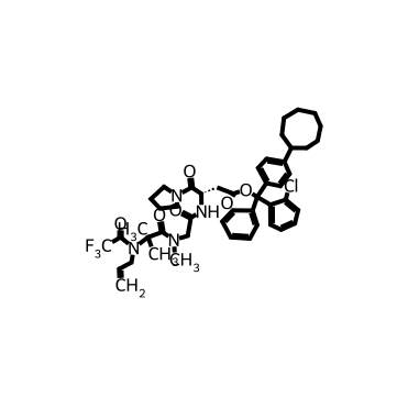 C=CCN(C(=O)C(F)(F)F)C(C)(C)C(=O)N(C)CC(=O)N[C@@H](CC(=O)OC(c1ccccc1)(c1ccc(C2CCCCCCC2)cc1)c1ccccc1Cl)C(=O)N1CCCC1